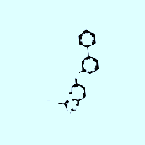 FC(F)(F)c1nnc2ccc(Oc3cccc(-c4ccccc4)c3)nn12